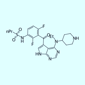 CCCS(=O)(=O)Nc1ccc(F)c(C(=O)c2c[nH]c3ncnc(N(CC)C4CCNCC4)c23)c1F